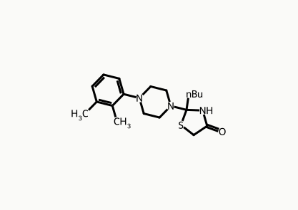 CCCCC1(N2CCN(c3cccc(C)c3C)CC2)NC(=O)CS1